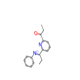 CCC(=O)c1cccc(/C(CC)=N/c2ccccc2)n1